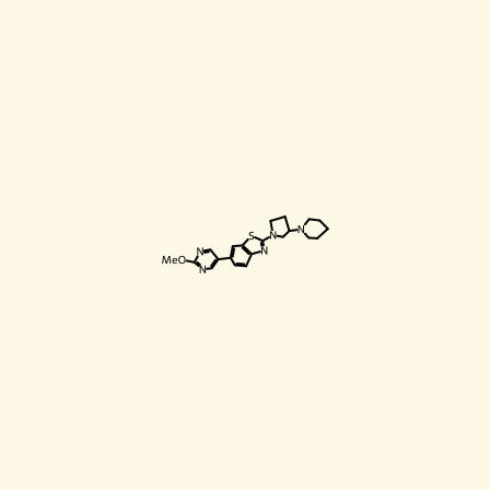 COc1ncc(-c2ccc3nc(N4CCC(N5CCCCC5)C4)sc3c2)cn1